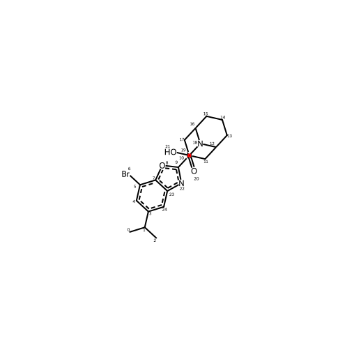 CC(C)c1cc(Br)c2oc(N3CC4CCCC(C3)N4C(=O)O)nc2c1